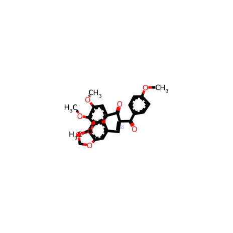 COc1ccc(C(=O)/C(=C/c2ccc3c(c2)OCO3)C(=O)c2cc(OC)c(OC)c(OC)c2)cc1